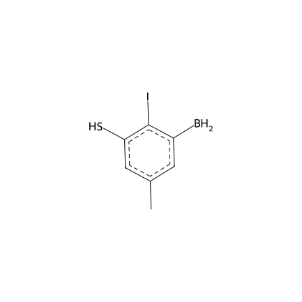 Bc1cc(C)cc(S)c1I